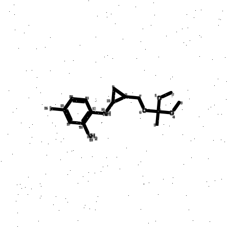 COC(C)(OC)OCC1CC1Nc1ccc(I)cc1N